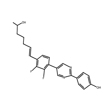 CC(O)CCCC=Cc1ccc(-c2cnc(-c3ccc(O)cc3)nc2)c(F)c1F